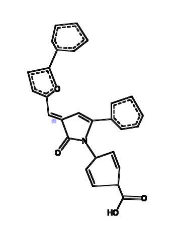 O=C(O)C1C=CC(N2C(=O)/C(=C/c3ccc(-c4ccccc4)o3)C=C2c2ccccc2)C=C1